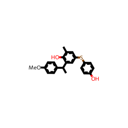 COc1ccc(C(C)c2cc(Sc3ccc(O)cc3)cc(C)c2O)cc1